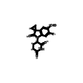 O=Cc1cc2c(cc1F)N(C1CCC(=O)NC1=O)C(=O)C21CC1